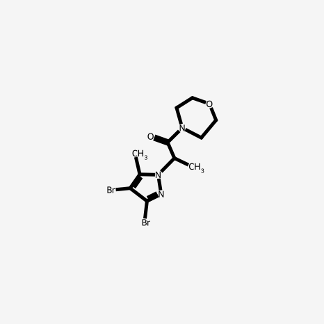 Cc1c(Br)c(Br)nn1C(C)C(=O)N1CCOCC1